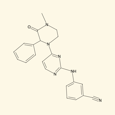 CN1CCN(c2ccnc(Nc3cccc(C#N)c3)n2)C(c2ccccc2)C1=O